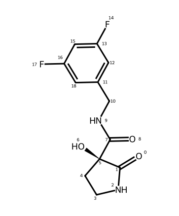 O=C1NCC[C@]1(O)C(=O)NCc1cc(F)cc(F)c1